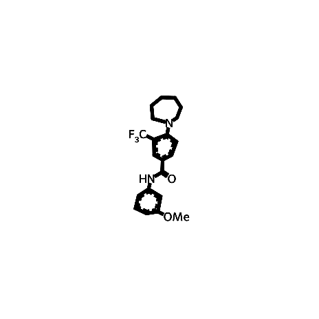 COc1cccc(NC(=O)c2ccc(N3CCCCCC3)c(C(F)(F)F)c2)c1